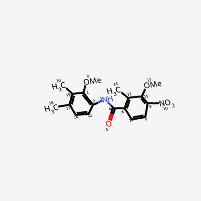 COc1c(NC(=O)c2ccc([N+](=O)[O-])c(OC)c2C)ccc(C)c1C